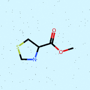 COC(=O)C1CSC[N]1